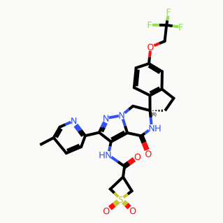 Cc1ccc(-c2nn3c(c2NC(=O)C2CS(=O)(=O)C2)C(=O)N[C@@]2(CCc4cc(OCC(F)(F)F)ccc42)C3)nc1